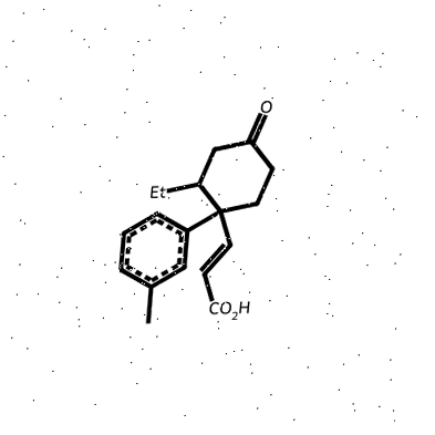 CCC1CC(=O)CCC1(C=CC(=O)O)c1cccc(C)c1